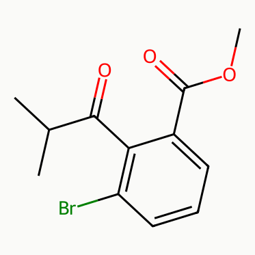 COC(=O)c1cccc(Br)c1C(=O)C(C)C